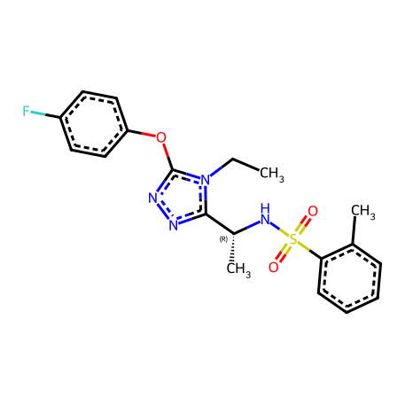 CCn1c(Oc2ccc(F)cc2)nnc1[C@@H](C)NS(=O)(=O)c1ccccc1C